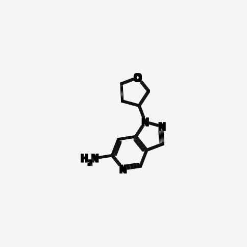 Nc1cc2c(cn1)cnn2C1CCOC1